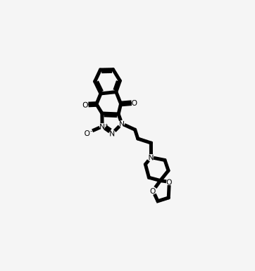 O=C1c2ccccc2C(=O)c2c1n(CCCN1CCC3(CC1)OCCO3)n[n+]2[O-]